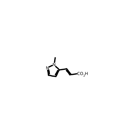 Cn1nccc1/C=C/C(=O)O